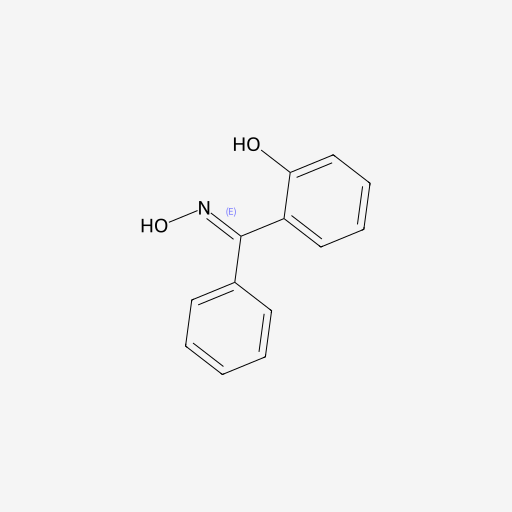 O/N=C(\c1ccccc1)c1ccccc1O